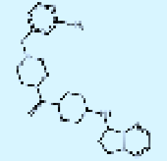 Nc1cc(CN2CCC(C(=O)N3CCC(NC4CCC5C=CC=NC54)CC3)CC2)ccn1